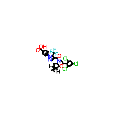 CC1(C)[C@@H]2CC(N(CC(=O)c3c(Cl)cc(Cl)cc3Cl)C(=O)c3cnn(C45CCC(C(=O)O)(CC4)CC5)c3C(F)(F)F)C[C@@H]21